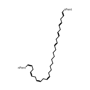 CCCCCC=CCC=CCC=CCC=CCCCC[CH]CCC/C=C\C/C=C\C/C=C\C/C=C\CCCCC